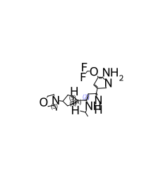 CC(C)N/C(=C\C(=N)c1cnc(N)c(OC(F)F)c1)[C@H]1[C@@H]2CC(N3CCOC[C@@H]3C)C[C@@H]21